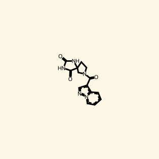 O=C1NC(=O)C2(CCN(C(=O)c3cnn4ccccc34)C2)N1